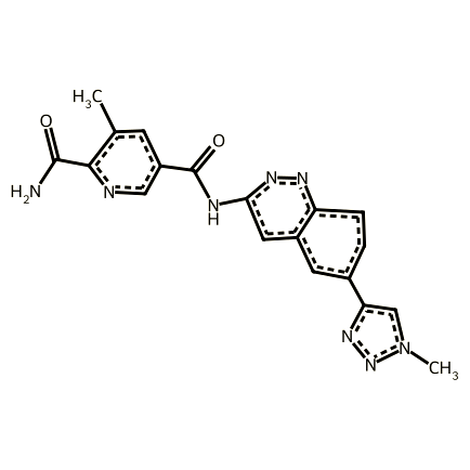 Cc1cc(C(=O)Nc2cc3cc(-c4cn(C)nn4)ccc3nn2)cnc1C(N)=O